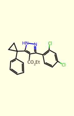 CCOC(=O)c1c(-c2ccc(Cl)cc2Cl)n[nH]c1C1(c2ccccc2)CC1